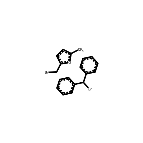 BrC(c1ccccc1)c1ccccc1.FC(F)(F)c1ccc(CBr)o1